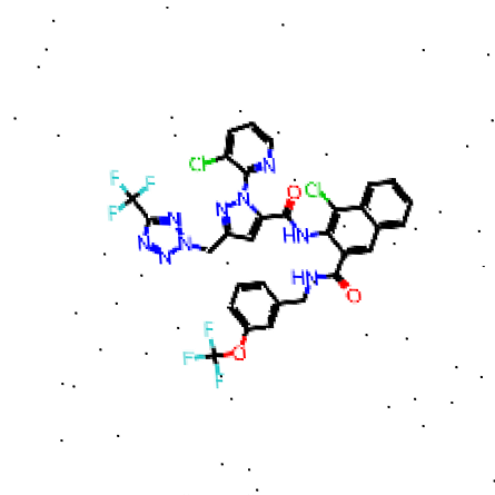 O=C(NCc1cccc(OC(F)(F)F)c1)c1cc2ccccc2c(Cl)c1NC(=O)c1cc(Cn2nnc(C(F)(F)F)n2)nn1-c1ncccc1Cl